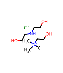 C[N+](C)(C)CCO.OCCNCCO.[Cl-]